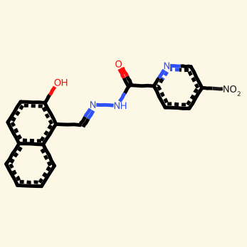 O=C(NN=Cc1c(O)ccc2ccccc12)c1ccc([N+](=O)[O-])cn1